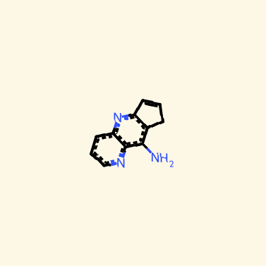 Nc1c2c(nc3cccnc13)C=CC2